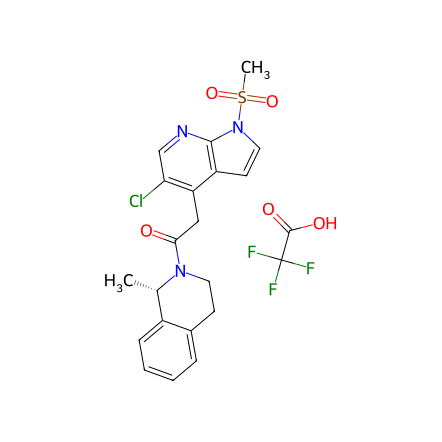 C[C@H]1c2ccccc2CCN1C(=O)Cc1c(Cl)cnc2c1ccn2S(C)(=O)=O.O=C(O)C(F)(F)F